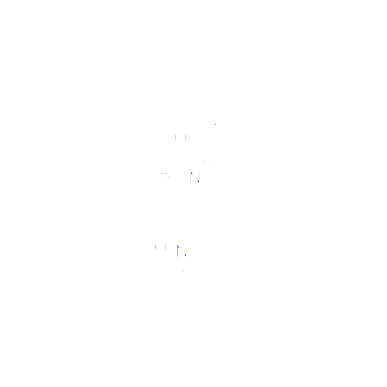 CC(C)(C)C(=O)ON(Br)c1cccc([N+](=O)[O-])c1